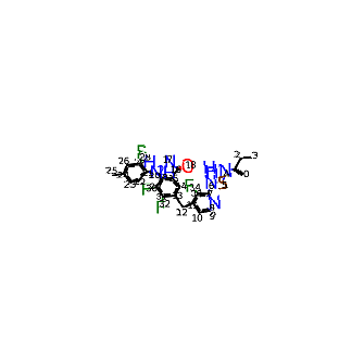 C=C(CC)NSNc1nccc(Cc2cc(C(N)=O)c(Nc3ccc(C)cc3F)c(F)c2F)c1F